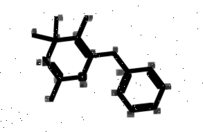 CC1=NC(C)(C)C(C)=C(Cc2ccccc2)O1